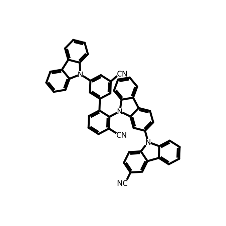 N#Cc1cc(-c2cccc(C#N)c2-n2c3ccccc3c3ccc(-n4c5ccccc5c5cc(C#N)ccc54)cc32)cc(-n2c3ccccc3c3ccccc32)c1